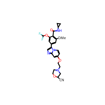 COc1cc(-c2cnc3cc(OCCN4CCOC(C#N)C4)ccn23)cc(OC(F)F)c1C(=O)NC1CC1